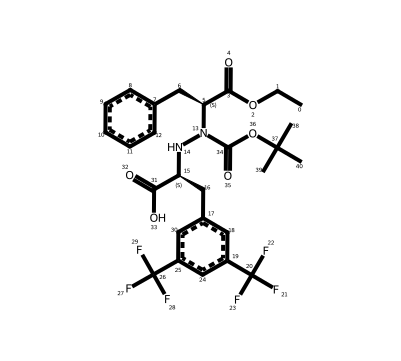 CCOC(=O)[C@H](Cc1ccccc1)N(N[C@@H](Cc1cc(C(F)(F)F)cc(C(F)(F)F)c1)C(=O)O)C(=O)OC(C)(C)C